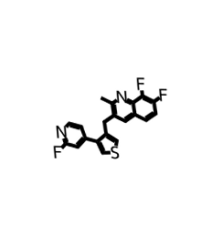 Cc1nc2c(F)c(F)ccc2cc1Cc1cscc1-c1ccnc(F)c1